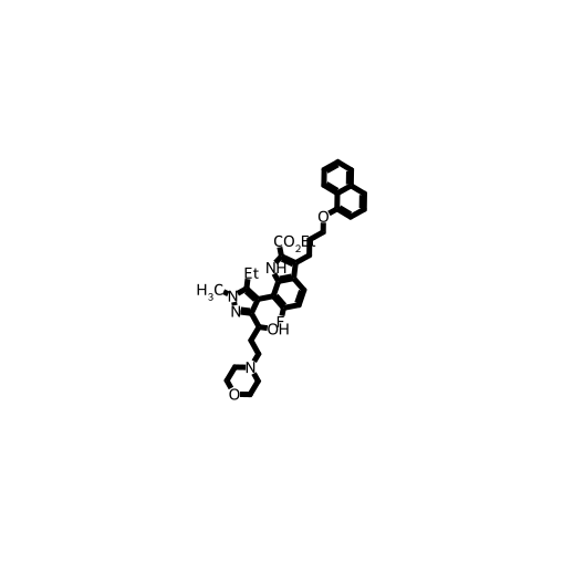 CCOC(=O)c1[nH]c2c(-c3c(C(O)CCN4CCOCC4)nn(C)c3CC)c(F)ccc2c1CCCOc1cccc2ccccc12